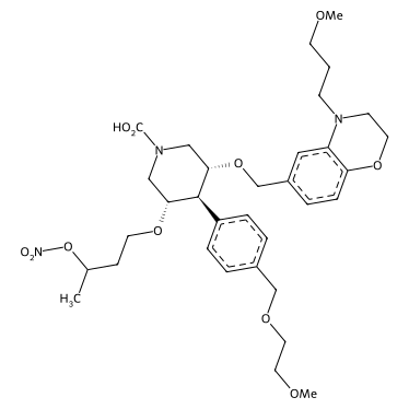 COCCCN1CCOc2ccc(CO[C@H]3CN(C(=O)O)C[C@@H](OCCC(C)O[N+](=O)[O-])[C@@H]3c3ccc(COCCOC)cc3)cc21